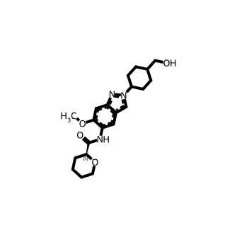 COc1cc2nn(C3CCC(CO)CC3)cc2cc1NC(=O)[C@@H]1CCCCO1